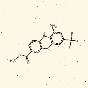 COC(=O)c1ccc2c(c1)Sc1cc(C(F)(F)F)cc(N)c1N2